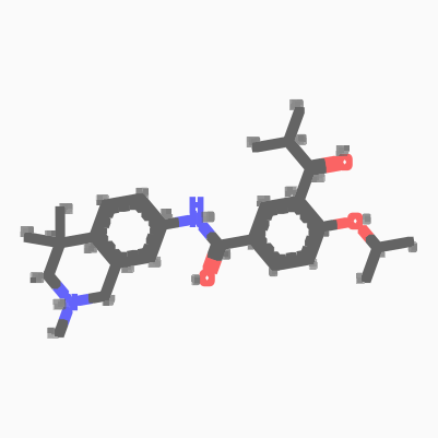 CC(C)Oc1ccc(C(=O)Nc2ccc3c(c2)CN(C)CC3(C)C)cc1C(=O)C(C)C